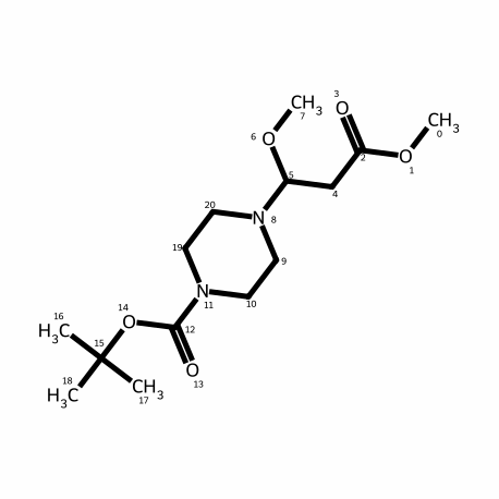 COC(=O)CC(OC)N1CCN(C(=O)OC(C)(C)C)CC1